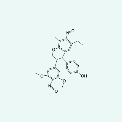 CCc1cc2c(c(C)c1N=O)OCC(c1cc(OC)c(N=O)c(OC)c1)C2c1ccc(O)cc1